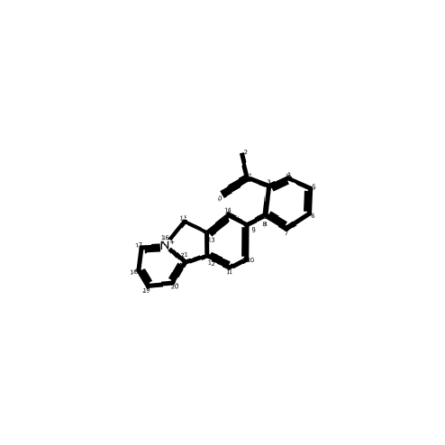 C=C(C)c1ccccc1-c1ccc2c(c1)C[n+]1ccccc1-2